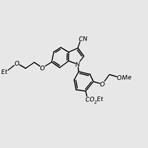 CCOCCOc1ccc2c(C#N)cn(-c3ccc(C(=O)OCC)c(OCOC)c3)c2c1